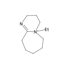 CC[N+]12CCCCCC1=NCCC2